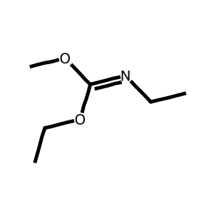 CCN=C(OC)OCC